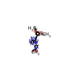 C=CC(=O)N1CCC(n2nc(C#Cc3cc(OCC)cc(OCC)c3)c3c(N)ncnc32)C1